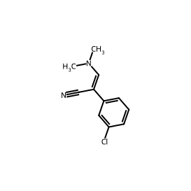 CN(C)/C=C(\C#N)c1cccc(Cl)c1